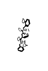 COc1ccccc1CNC(=O)c1ccnc(C(=O)NCc2ccccc2OC)c1